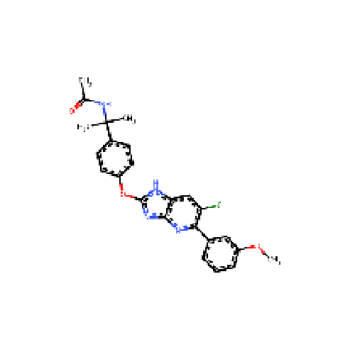 COc1cccc(-c2nc3nc(Oc4ccc(C(C)(C)NC(C)=O)cc4)[nH]c3cc2Cl)c1